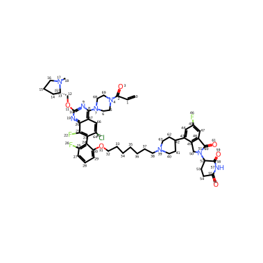 C=CC(=O)N1CCN(c2nc(OC[C@@H]3CCCN3C)nc3c(F)c(-c4c(F)cccc4OCCCCCCCN4CCC(c5cc(F)cc6c5CN(C5CCC(=O)NC5=O)C6=O)CC4)c(Cl)cc23)CC1